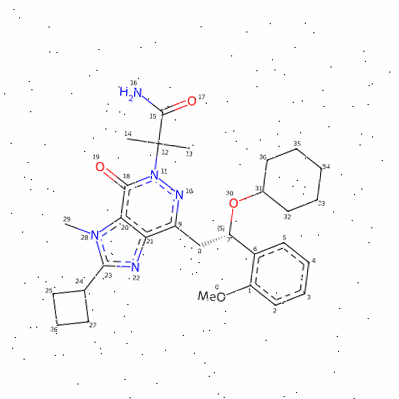 COc1ccccc1[C@H](Cc1nn(C(C)(C)C(N)=O)c(=O)c2c1nc(C1CCC1)n2C)OC1CCCCC1